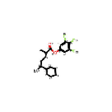 CCC(CCC(C)C(=O)Oc1cc(F)c(F)c(F)c1)C1CCCCC1